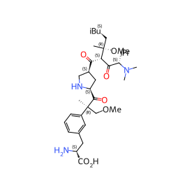 CC[C@H](C)C[C@@](C)(OC)[C@@H](C(=O)[C@@H]1CN[C@H](C(=O)[C@@](C)(COC)c2cccc(C[C@H](N)C(=O)O)c2)C1)C(=O)[C@H](C(C)C)N(C)C